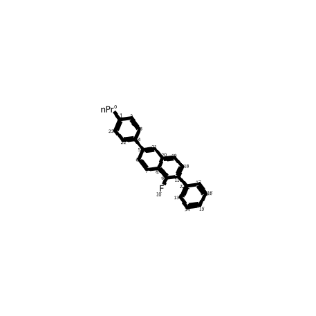 CCCc1ccc(-c2ccc3c(F)c(-c4ccccc4)ccc3c2)cc1